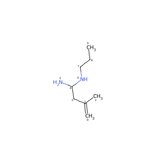 C=C(C)CC(N)NCCC